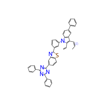 C=Cc1c(/C=C\C)c2cc(-c3ccccc3)ccc2n1-c1cccc(-c2nc3cc(-c4nc(-c5ccccc5)nc(-c5ccccc5)n4)ccc3s2)c1